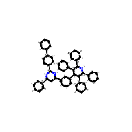 c1ccc(-c2ccc(-c3nc(-c4ccccc4)cc(-c4cccc(-c5c(-c6ccccc6)c(-c6ccccc6)nc(-c6ccccc6)c5-c5ccccc5)c4)n3)cc2)cc1